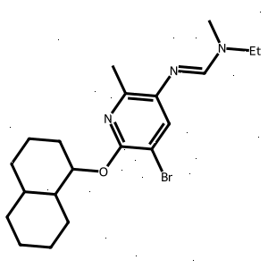 CCN(C)/C=N/c1cc(Br)c(OC2CCCC3CCCCC32)nc1C